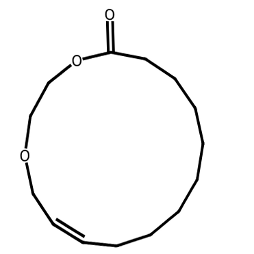 O=C1CCCCCCCC/C=C\COCCO1